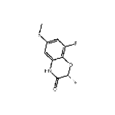 CSc1cc(F)c2c(c1)NC(=O)[C@@H](C)O2